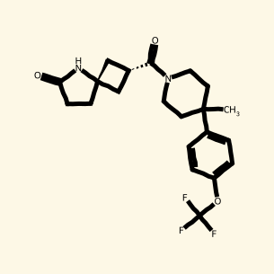 CC1(c2ccc(OC(F)(F)F)cc2)CCN(C(=O)[C@H]2C[C@]3(CCC(=O)N3)C2)CC1